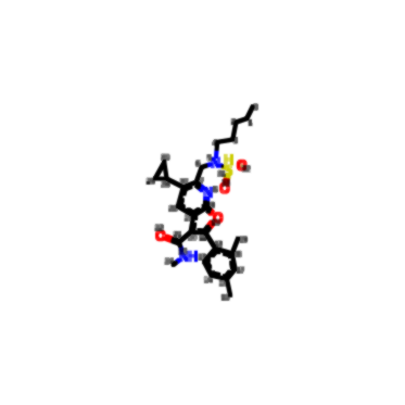 CCCCCN(Cc1nc2oc(-c3ccc(C)cc3C)c(C(=O)NC)c2cc1C1CC1)[SH](=O)=O